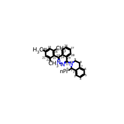 CCCC1c2ccccc2CCN1c1nnc(-c2c(C)cc(C)cc2C)c2ccccc12